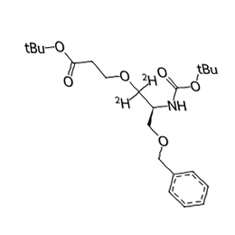 [2H]C([2H])(OCCC(=O)OC(C)(C)C)[C@H](COCc1ccccc1)NC(=O)OC(C)(C)C